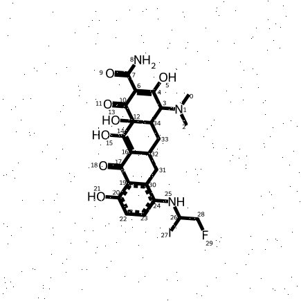 CN(C)C1C(O)=C(C(N)=O)C(=O)C2(O)C(O)=C3C(=O)c4c(O)ccc(NC(I)CF)c4CC3CC12